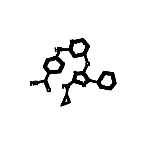 O=C(O)c1ccc(Nc2cc(Oc3sc(NC4CC4)nc3-c3ccccc3)ccn2)cc1